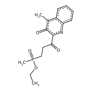 CCOP(C)(=O)CCC(=O)c1nc2ccccc2n(C)c1=O